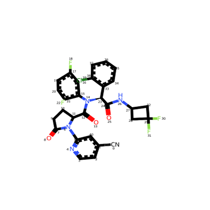 N#Cc1ccnc(N2C(=O)CCC2C(=O)N(c2cc(F)ccc2F)[C@H](C(=O)NC2CC(F)(F)C2)c2ccccc2Cl)c1